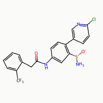 N[S+]([O-])c1cc(NC(=O)Cc2ccccc2C(F)(F)F)ccc1-c1ccc(Cl)nc1